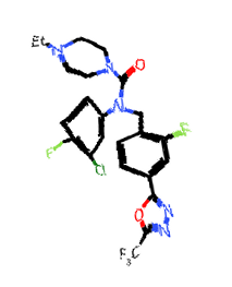 CCN1CCN(C(=O)N(Cc2ccc(-c3nnc(C(F)(F)F)o3)cc2F)c2ccc(F)c(Cl)c2)CC1